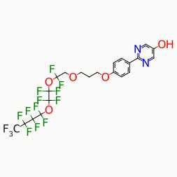 Oc1cnc(-c2ccc(OCCCOCC(F)(F)OC(F)(F)C(F)(F)OC(F)(F)C(F)(F)C(F)(F)C(F)(F)F)cc2)nc1